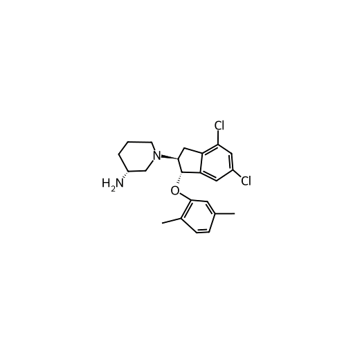 Cc1ccc(C)c(O[C@H]2c3cc(Cl)cc(Cl)c3C[C@@H]2N2CCC[C@@H](N)C2)c1